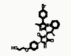 Cc1nc([C@H]([C@H](C)c2ccccc2)N2C(=O)N[C@H](c3ccc(OCCO)cc3)C2=O)[nH]c1-c1ccc(Br)cc1